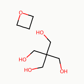 C1COC1.OCC(CO)(CO)CO